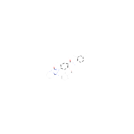 Cc1cc(F)ccc1NC(=O)c1cc(F)c(-n2nc3n(c2=O)CCCC3)cc1O[C@@H](C)C1CCCCC1